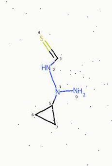 NN(NC=S)C1CC1